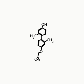 Cc1cc(O)ccc1-c1ccc(OCC2CO2)cc1C